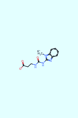 Cn1c(NC(=O)NCCC(=O)[O-])nc2ccccc21.[K+]